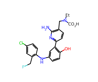 CCN(Cc1ccc(-c2cc(Nc3ccc(Cl)cc3CF)ccc2O)nc1N)C(=O)O